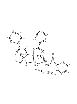 C[C@]1(OC(=O)c2ccccc2)[C@H](n2ccc(=O)n(C(=O)c3ccccc3)c2=O)O[C@](F)(CI)[C@H]1OC(=O)c1ccccc1